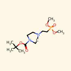 COP(=O)(CCN1CCN(C(=O)OC(C)(C)C)CC1)OC